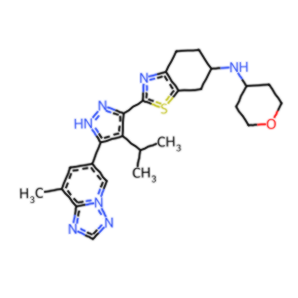 Cc1cc(-c2[nH]nc(-c3nc4c(s3)CC(NC3CCOCC3)CC4)c2C(C)C)cn2ncnc12